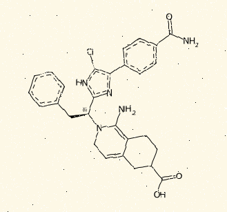 NC(=O)c1ccc(-c2nc([C@H](Cc3ccccc3)N3CC=C4CC(C(=O)O)CCC4=C3N)[nH]c2Cl)cc1